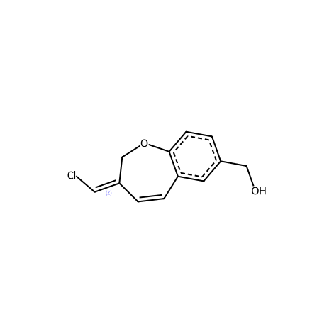 OCc1ccc2c(c1)C=C/C(=C/Cl)CO2